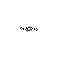 O=C1c2cccc(Oc3ccc(-c4ccccc4)cc3)c2C(=O)c2cccc(Oc3ccc(-c4ccccc4)cc3)c21